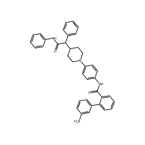 Nc1cccc(-c2ccccc2C(=O)Nc2ccc(N3CCC(C(C(=O)Nc4ccccc4)c4ccccc4)CC3)cc2)c1